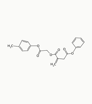 C=C(CC(=O)Oc1ccccc1)C(=O)OCC(=O)Oc1ccc(C)cc1